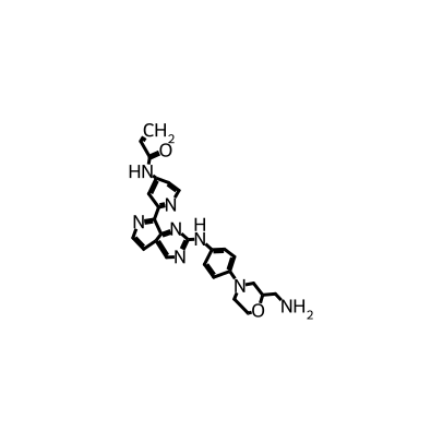 C=CC(=O)Nc1ccnc(-c2nccc3cnc(Nc4ccc(N5CCOC(CN)C5)cc4)nc23)c1